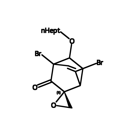 CCCCCCCOC1CC2C(Br)=CC1(Br)C(=O)[C@]21CO1